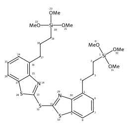 CO[Si](CCCc1cccc2sc(Sc3nc4c(CCC[Si](OC)(OC)OC)cccc4s3)nc12)(OC)OC